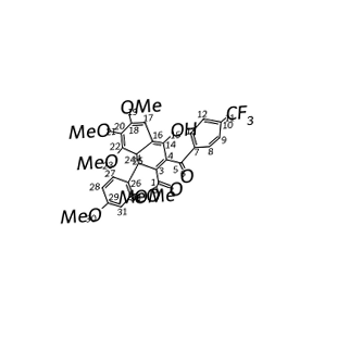 COC(=O)c1c(C(=O)c2ccc(C(F)(F)F)cc2)c(O)c2cc(OC)c(OC)c(OC)c2c1-c1ccc(OC)cc1OC